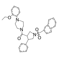 CCOc1ccccc1N1CCN(C(=O)C2CN(S(=O)(=O)c3ccc4ccccc4c3)CC2c2ccccc2)CC1